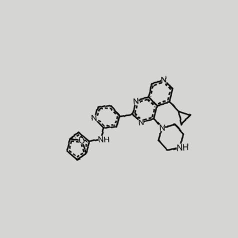 c1cc(-c2nc(N3CCNCC3)c3c(C4CC4)cncc3n2)cc(Nc2cc3ccc2o3)n1